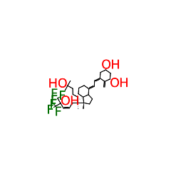 C=C1/C(=C\C=C2/CCC[C@@]3(C)C2CC[C@]3(C)[C@@](C)(C/C=C\C(O)(C(F)(F)F)C(F)(F)F)CCCC(C)(C)O)C[C@@H](O)C[C@@H]1O